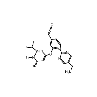 CCN(CC(F)F)C(=N)/C=C(\NC)Oc1cc(C=C=O)ccc1-c1ncc(CN)cn1